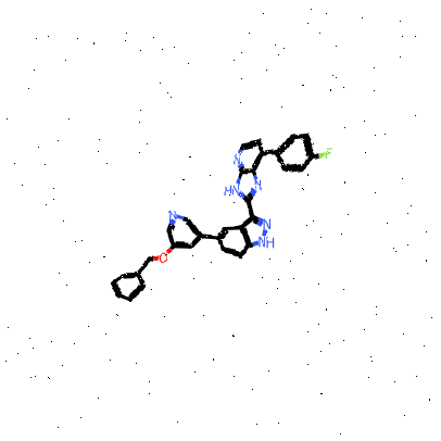 Fc1ccc(-c2ccnc3[nH]c(-c4n[nH]c5ccc(-c6cncc(OCc7ccccc7)c6)cc45)nc23)cc1